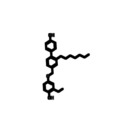 CCCCCCCc1cc(COc2ccc(O)c(CC)c2)ccc1-c1ccc(O)cc1